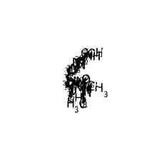 CCCc1nn(C)c2c(=O)[nH]c(-c3cc(CC4CCN(c5ncc(C(=O)NO)cn5)CC4)ccc3OCC)nc12